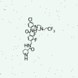 O=C(Nc1ccc(Cl)cc1N1CCN(CCC(F)(F)F)CC1)c1ccc(CNC(=O)C2CCCNC2)c(F)c1F